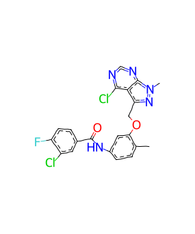 Cc1ccc(NC(=O)c2ccc(F)c(Cl)c2)cc1OCc1nn(C)c2ncnc(Cl)c12